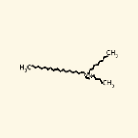 CCCCCCCCCCCCCCCCCCn1cc[n+](CCCCC)c1CCCCCCCCC